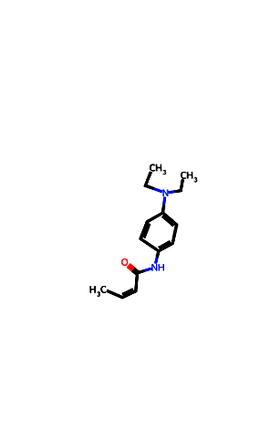 C/C=C\C(=O)Nc1ccc(N(CC)CC)cc1